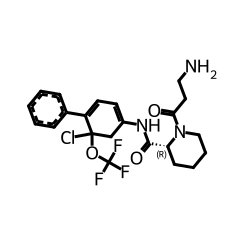 NCCC(=O)N1CCCC[C@@H]1C(=O)NC1=CC=C(c2ccccc2)C(Cl)(OC(F)(F)F)C1